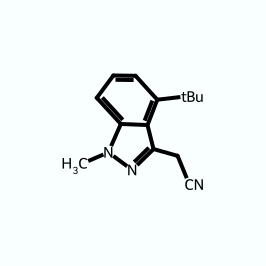 Cn1nc(CC#N)c2c(C(C)(C)C)cccc21